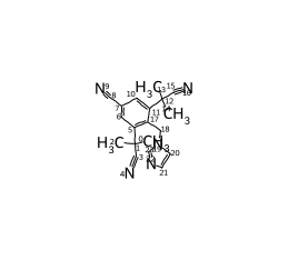 CC(C)(C#N)c1cc(C#N)cc(C(C)(C)C#N)c1Cn1ccnc1